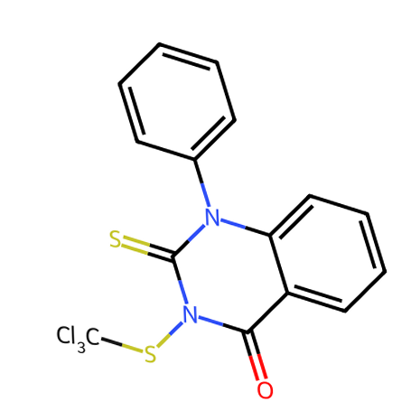 O=c1c2ccccc2n(-c2ccccc2)c(=S)n1SC(Cl)(Cl)Cl